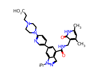 Cc1cc(C)c(CNC(=O)c2cc(-c3ccc(N4CCN(CCC(=O)O)CC4)nc3)cc3c2cnn3C(C)C)c(=O)[nH]1